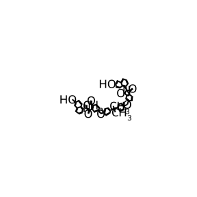 CN(C(=O)c1cc(Oc2ccc(C(C)(C)c3ccc(Oc4ccc5c(c4)C(=O)N(c4cccc6cc(O)ccc46)C5=O)cc3)cc2)ccc1C=O)c1cccc2cc(O)ccc12